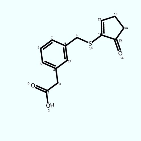 O=C(O)Cc1cccc(CSC2=CCCC2=O)c1